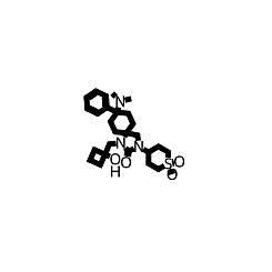 CN(C)C1(c2ccccc2)CCC2(CC1)CN(C1CCS(=O)(=O)CC1)C(=O)N2CC1(O)CCC1